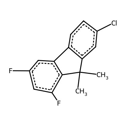 CC1(C)c2cc(Cl)ccc2-c2cc(F)cc(F)c21